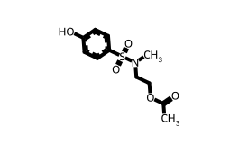 CC(=O)OCCN(C)S(=O)(=O)c1ccc(O)cc1